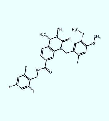 COc1cc(F)c(CN2C(=O)N(C)C(C)c3ccc(C(=O)NCc4c(F)cc(F)cc4F)cc32)cc1OC